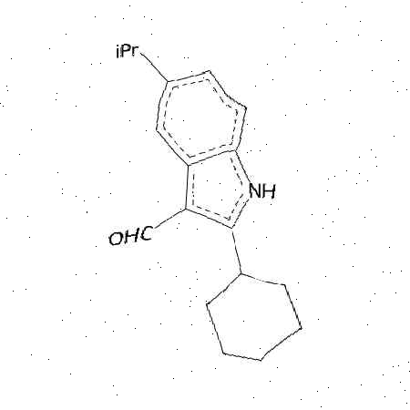 CC(C)c1ccc2[nH]c(C3CCCCC3)c(C=O)c2c1